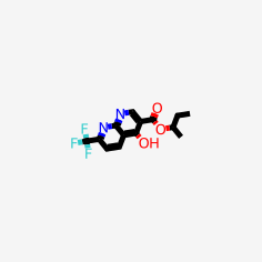 CCC(C)OC(=O)c1cnc2nc(C(F)(F)F)ccc2c1O